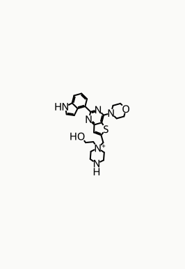 OCC[N+]1(Cc2cc3nc(-c4cccc5[nH]ccc45)nc(N4CCOCC4)c3s2)CCNCC1